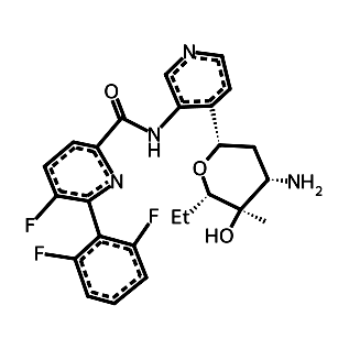 CC[C@@H]1O[C@H](c2ccncc2NC(=O)c2ccc(F)c(-c3c(F)cccc3F)n2)C[C@H](N)[C@@]1(C)O